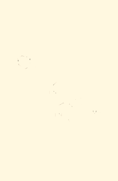 COCC12CC(C(N)=O)N(C(=O)CNC(=O)CCCOc3ccccc3)C1C2